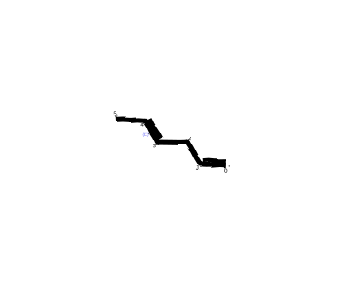 [CH]=CC/C=C/C